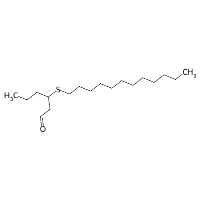 CCCCCCCCCCCCSC(CC=O)CCC